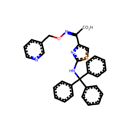 O=C(O)C(=NOCc1cccnc1)c1csc(NC(c2ccccc2)(c2ccccc2)c2ccccc2)n1